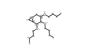 CCCCOC1[C@@H](OCCCC)C2CN2C[C@H]1OCCCC